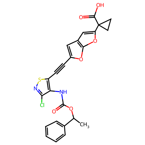 CC(OC(=O)Nc1c(Cl)nsc1C#Cc1cc2cc(C3(C(=O)O)CC3)oc2o1)c1ccccc1